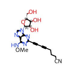 CONc1nc(C#CC#CCCCC#N)nc2c1ncn2[C@@H]1O[C@H](CO)[C@@H](O)[C@H]1O